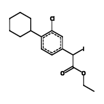 CCOC(=O)C(I)c1ccc(C2CCCCC2)c(Cl)c1